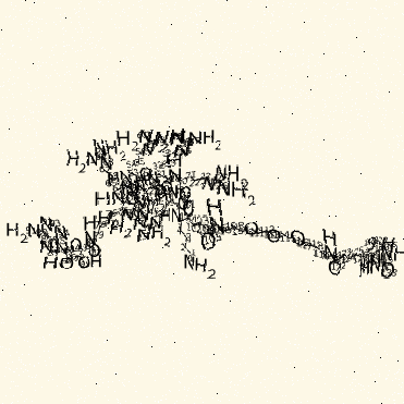 NCCCC[C@@H](NC(=O)[C@@H](CCCN=C(N)N)NC(=O)[C@@H](CCCN=C(N)N)NC(=O)[C@@H](CCCN=C(N)N)NC(=O)[C@@H](CCCN=C(N)N)NC(=O)[C@@H](CCCN=C(N)N)NC(=O)[C@@H](CCCN=C(N)N)NC(=O)CCCCCNC(=O)[C@H]1O[C@@H](n2cnc3c(N)ncnc32)[C@H](O)[C@@H]1O)C(=O)CCC(=O)NCCCOCCOCCOCCCNC(=O)CCCC[C@@H]1SC[C@@H]2NC(=O)N[C@@H]21